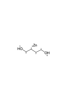 OCCCCO.[Zn]